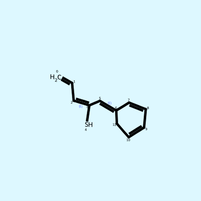 C=C/C=C(S)\C=C1\C=CC=CC1